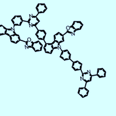 c1ccc(-c2cc(-c3ccccc3)nc(-c3ccc(-c4ccc(-n5c6cc(-c7nc8ccccc8o7)ccc6c6c(-c7ccc(-c8cc(-c9ccccc9)nc(-c9cccc(-n%10c%11ccccc%11c%11ccc(-c%12nc%13ccccc%13o%12)cc%11%10)c9)n8)cc7)cccc65)cc4)cc3)n2)cc1